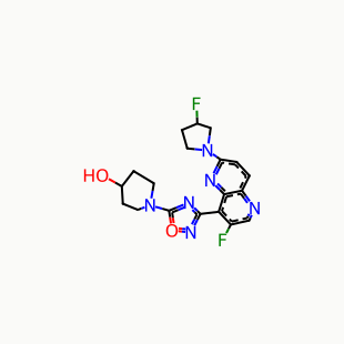 OC1CCN(c2nc(-c3c(F)cnc4ccc(N5CCC(F)C5)nc34)no2)CC1